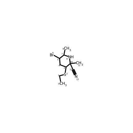 CCSC1CC(Br)C(C)NC1(C)C#N